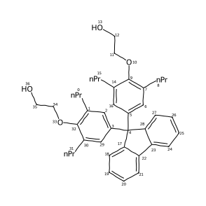 CCCc1cc(C2(c3cc(CCC)c(OCCO)c(CCC)c3)c3ccccc3-c3ccccc32)cc(CCC)c1OCCO